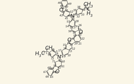 CC(C)c1ccc(N(c2ccc3cc4c(cc3c2)oc2c4ccc3oc4cc5cc(N(c6ccc(C(C)C)cc6)c6ccc7oc8ccccc8c7c6)ccc5cc4c32)c2ccc3oc4ccccc4c3c2)cc1